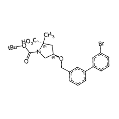 CC(C)(C)OC(=O)N1C[C@H](OCc2cccc(-c3cccc(Br)c3)c2)C[C@@]1(C)C(=O)O